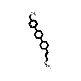 CCc1ccc(C2CCC(C3CCC(C=CCOC)CC3)CC2)cc1